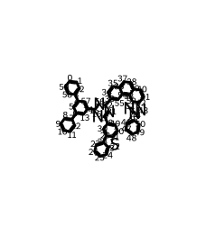 c1ccc(-c2cc(-c3ccccc3)cc(-c3nc(-c4ccc5sc6ccccc6c5c4)nc(-c4ccc5ccc6ccc7nn(-c8ccccc8)nc7c6c5c4)n3)c2)cc1